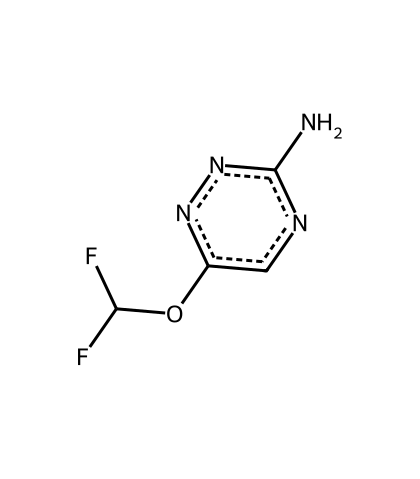 Nc1ncc(OC(F)F)nn1